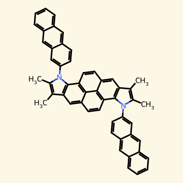 Cc1c(C)n(-c2ccc3cc4ccccc4cc3c2)c2c1cc1ccc3c4c(ccc2c14)cc1c(C)c(C)n(-c2ccc4cc5ccccc5cc4c2)c13